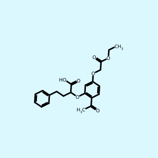 CCOC(=O)COc1ccc(C(C)=O)c(OC(CCc2ccccc2)C(=O)O)c1